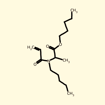 C=CC(=O)N(CCCCC)C(C)C(=O)OCCCCC